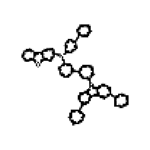 c1ccc(-c2ccc(N(c3cccc(-c4cccc(-n5c6ccc(-c7ccccc7)cc6c6cc(-c7ccccc7)ccc65)c4)c3)c3ccc4c(c3)oc3ccccc34)cc2)cc1